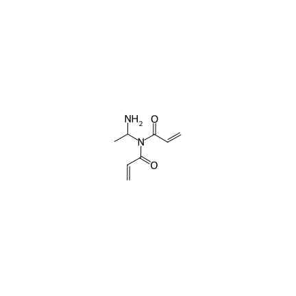 C=CC(=O)N(C(=O)C=C)C(C)N